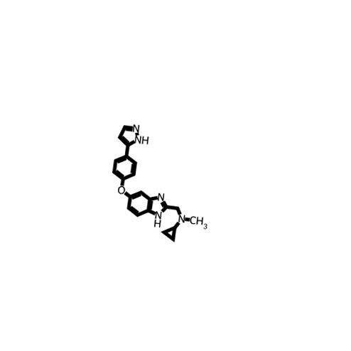 CN(Cc1nc2cc(Oc3ccc(-c4ccn[nH]4)cc3)ccc2[nH]1)C1CC1